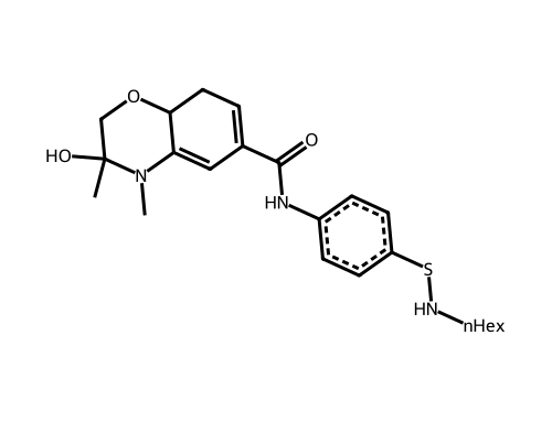 CCCCCCNSc1ccc(NC(=O)C2=CCC3OCC(C)(O)N(C)C3=C2)cc1